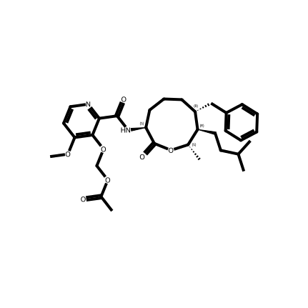 COc1ccnc(C(=O)N[C@H]2CCC[C@H](Cc3ccccc3)[C@@H](CCC(C)C)[C@H](C)OC2=O)c1OCOC(C)=O